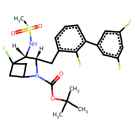 CC(C)(C)OC(=O)N1C2CC(F)(C2)[C@H](NS(C)(=O)=O)[C@@H]1Cc1cccc(-c2cc(F)cc(F)c2)c1F